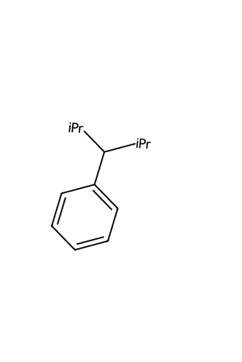 CC(C)C(c1ccccc1)C(C)C